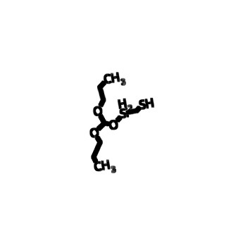 CCCOC(OCCC)O[SiH2]CS